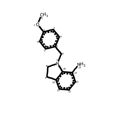 COc1ccc(CN2CCc3cccc(N)c32)cc1